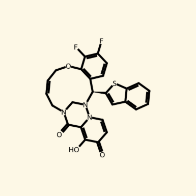 O=C1c2c(O)c(=O)ccn2N2CN1C/C=C\COc1c(ccc(F)c1F)[C@H]2c1cc2ccccc2s1